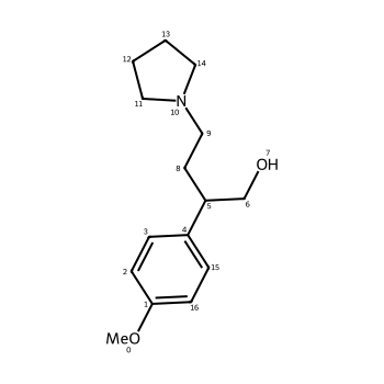 COc1ccc(C(CO)CCN2CCCC2)cc1